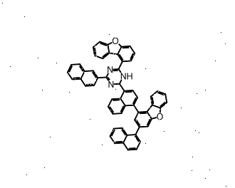 c1ccc2cc(C3=NC(c4ccc(-c5cc(-c6cccc7ccccc67)cc6oc7ccccc7c56)c5ccccc45)NC(c4cccc5oc6ccccc6c45)=N3)ccc2c1